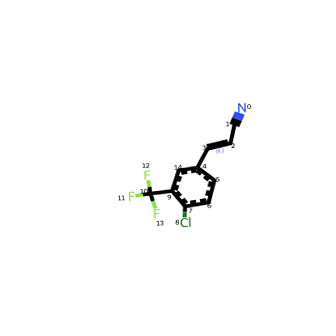 N#C/C=C/c1ccc(Cl)c(C(F)(F)F)c1